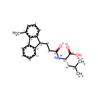 Cc1cccc2c1-c1ccccc1C2CCC(=O)N[C@@H](CC(C)C)C(=O)O